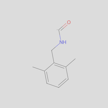 Cc1cccc(C)c1CN[C]=O